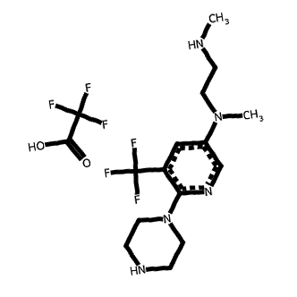 CNCCN(C)c1cnc(N2CCNCC2)c(C(F)(F)F)c1.O=C(O)C(F)(F)F